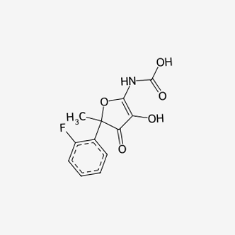 CC1(c2ccccc2F)OC(NC(=O)O)=C(O)C1=O